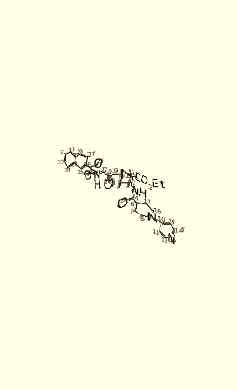 CCOC(=O)C(CNC(=O)C1CCN(c2ccncc2)CC1)NC(=O)CNS(=O)(=O)c1ccc2ccccc2c1